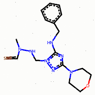 CN(C=S)NCn1nc(N2CCOCC2)nc1NCc1ccccc1